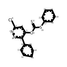 S=C(Oc1cc(Cl)nnc1-c1ccccc1)Sc1ccccc1